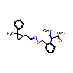 CON=C(C(=O)OC)c1ccccc1CON=CCC1CC1(C)c1ccccc1